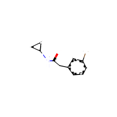 O=C(Cc1cccc(Br)c1)NC1CC1